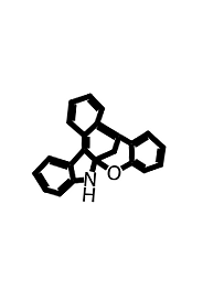 c1ccc2c(c1)NC13CC(=c4ccccc4=C21)c1ccccc1O3